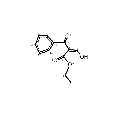 CCOC(=O)/C(=C\O)C(=O)c1ccccc1